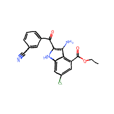 CCOC(=O)c1cc(Cl)cc2[nH]c(C(=O)c3cccc(C#N)c3)c(N)c12